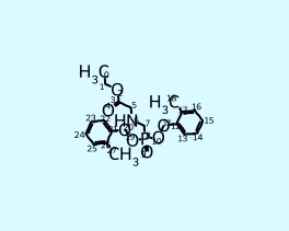 CCOC(=O)CNCP(=O)(OOc1ccccc1C)OOc1ccccc1C